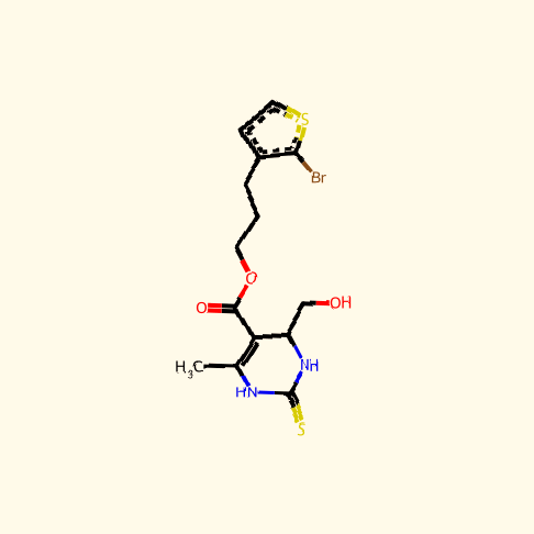 CC1=C(C(=O)OCCCc2ccsc2Br)C(CO)NC(=S)N1